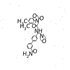 Cc1cc2c(cc1C)N(CC(=O)CNC(CN1CCOCC1)c1ccc(-c3cccc(C(N)=O)c3)cc1)C(=O)CO2